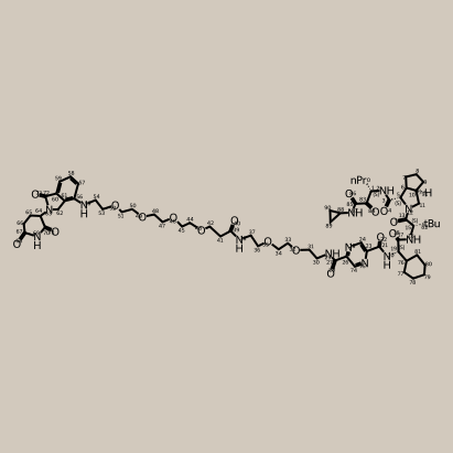 CCC[C@H](NC(=O)[C@@H]1C2CCC[C@H]2CN1C(=O)[C@@H](NC(=O)[C@@H](NC(=O)c1cnc(C(=O)NCCOCCOCCNC(=O)CCOCCOCCOCCOCCNc2cccc3c2CN(C2CCC(=O)NC2=O)C3=O)cn1)C1CCCCC1)C(C)(C)C)C(=O)C(=O)NC1CC1